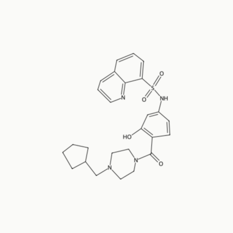 O=C(c1ccc(NS(=O)(=O)c2cccc3cccnc23)cc1O)N1CCN(CC2CCCC2)CC1